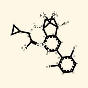 CC1(C)[C@H]2CC[C@]1(O[C@H](C(N)=O)C1CC1)c1nnc(-c3c(F)cccc3F)cc12